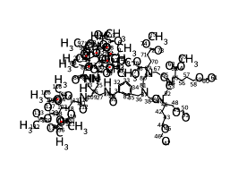 CCC(OC(C)=O)C(OC(C)=O)C(OC(C)=O)C(OC(C)=O)C(=O)NCC(CNC(=O)c1cccc(CN2CCN(C(CCCOC=O)COC=O)CCN(C(CCCOC=O)C(=O)OC)CCN(C(CCC(=O)OC)C(=O)OC)CC2)c1)(CNC(=O)C(C)C(OC(C)=O)C(OC(C)=O)C(COC(C)=O)OC(C)=O)CNC(=O)C(OC(C)=O)C(OC(C)=O)C(OC(C)=O)C(COC(C)=O)OC(C)=O